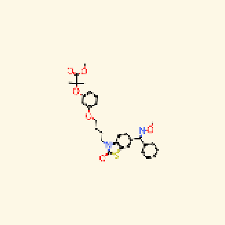 CON=C(c1ccccc1)c1ccc2c(c1)sc(=O)n2CCCCOc1cccc(OC(C)(C)C(=O)OC)c1